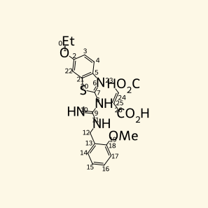 CCOc1ccc2nc(NC(=N)NCc3ccccc3OC)sc2c1.O=C(O)/C=C/C(=O)O